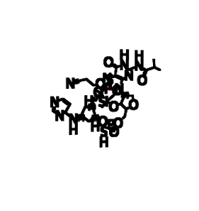 CC(C)C(=O)Nc1nc2c(ncn2[C@]23COC(COP(=O)(S)O[C@H]4C[C@H](Nc5ccncn5)C[C@@H]4COP(=S)(OCCC#N)O2)C3O[Si](C)(C)C(C)(C)C)c(=O)[nH]1